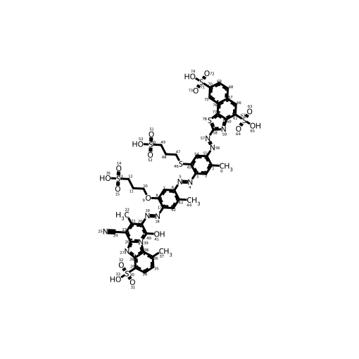 Cc1cc(N=Nc2cc(OCCCS(=O)(=O)O)c(N=Nc3c(C)c(C#N)c4nc5c(S(=O)(=O)O)ccc(C)c5n4c3O)cc2C)c(SCCCS(=O)(=O)O)cc1N=Nc1nc2c(S(=O)(=O)O)cc3ccc(S(=O)(=O)O)cc3c2s1